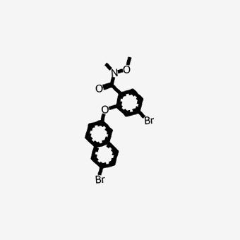 CON(C)C(=O)c1ccc(Br)cc1Oc1ccc2cc(Br)ccc2c1